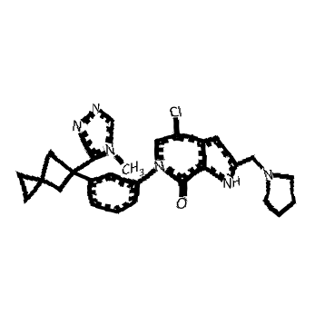 Cn1cnnc1C1(c2cccc(-n3cc(Cl)c4cc(CN5CCCC5)[nH]c4c3=O)c2)CC2(CC2)C1